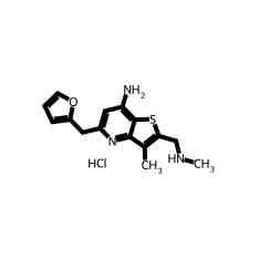 CNCc1sc2c(N)cc(Cc3ccco3)nc2c1C.Cl